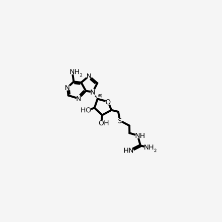 N=C(N)NCCSCC1O[C@@H](n2cnc3c(N)ncnc32)C(O)C1O